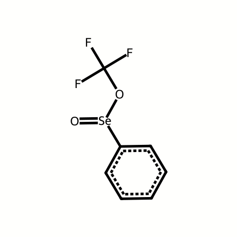 O=[Se](OC(F)(F)F)c1ccccc1